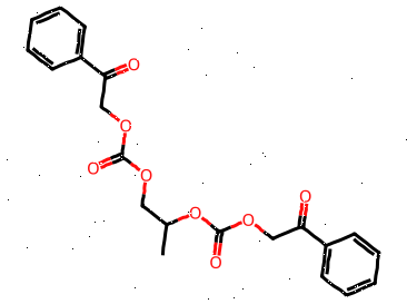 CC(COC(=O)OCC(=O)c1ccccc1)OC(=O)OCC(=O)c1ccccc1